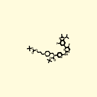 Cc1nc2c(F)cc(-c3nc(Nc4ccc(N(CC5CCN(CCCOC(=O)OC(C)(C)C)CC5)C(=O)OC(C)(C)C)cn4)ncc3F)cc2n1C(C)C